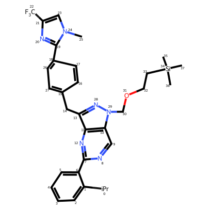 CC(C)c1ccccc1-c1ncc2c(n1)c(Cc1ccc(-c3nc(C(F)(F)F)cn3C)cc1)nn2COCC[Si](C)(C)C